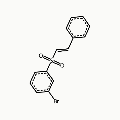 O=S(=O)(/C=C/c1ccccc1)c1cccc(Br)c1